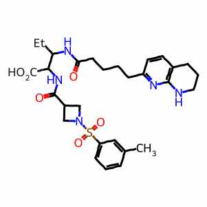 CCC(NC(=O)CCCCc1ccc2c(n1)NCCC2)C(NC(=O)C1CN(S(=O)(=O)c2cccc(C)c2)C1)C(=O)O